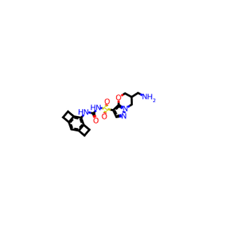 NCC1COc2c(S(=O)(=O)NC(=O)Nc3c4c(cc5c3CC5)CC4)cnn2C1